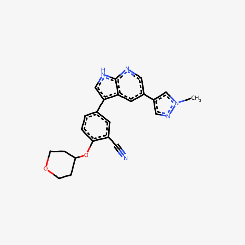 Cn1cc(-c2cnc3[nH]cc(-c4ccc(OC5CCOCC5)c(C#N)c4)c3c2)cn1